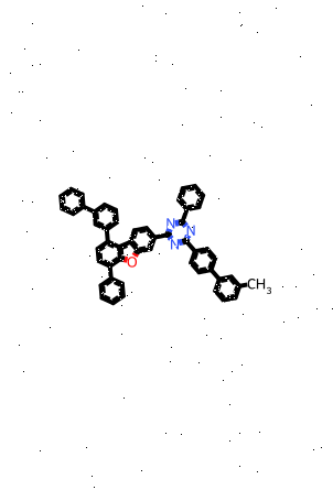 Cc1cccc(-c2ccc(-c3nc(-c4ccccc4)nc(-c4ccc5c(c4)oc4c(-c6ccccc6)ccc(-c6cccc(-c7ccccc7)c6)c45)n3)cc2)c1